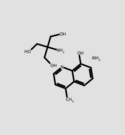 Cc1ccnc2c(O)cccc12.NC(CO)(CO)CO.[AlH3]